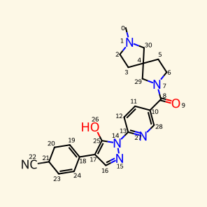 CN1CCC2(CCN(C(=O)c3ccc(-n4ncc(C5=CCC(C#N)C=C5)c4O)nc3)C2)C1